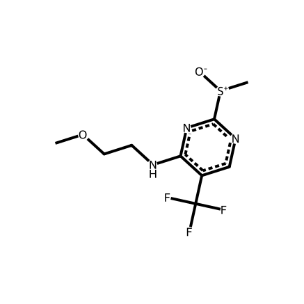 COCCNc1nc([S+](C)[O-])ncc1C(F)(F)F